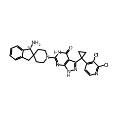 N[C@@H]1c2ccccc2CC12CCN(c1nc3[nH]nc(C4(c5ccnc(Cl)c5Cl)CC4)c3c(=O)[nH]1)CC2